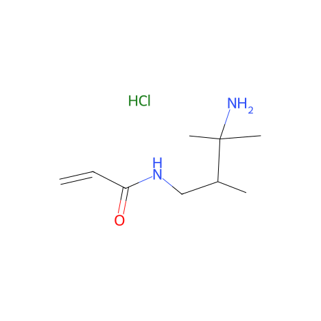 C=CC(=O)NCC(C)C(C)(C)N.Cl